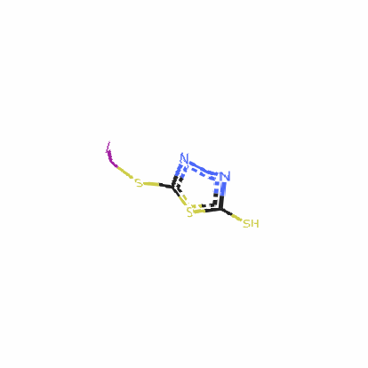 Sc1nnc(SI)s1